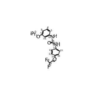 CC(C)Oc1cccc(NC(=O)Nc2ccc(OC(F)F)cc2)c1